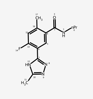 CCCNC(=O)c1cc(-c2nnc(C)[nH]2)c(F)cc1C